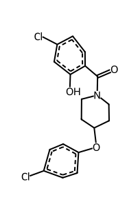 O=C(c1ccc(Cl)cc1O)N1CCC(Oc2ccc(Cl)cc2)CC1